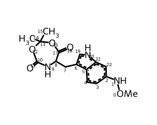 CONc1ccc2c(CC3NC(=O)OC(C)(C)OC3=O)c[nH]c2c1